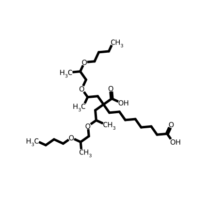 CCCCOC(C)COC(C)CC(CCCCCCCC(=O)O)(CC(C)OCC(C)OCCCC)C(=O)O